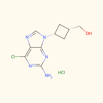 Cl.Nc1nc(Cl)c2ncn([C@H]3C[C@@H](CO)C3)c2n1